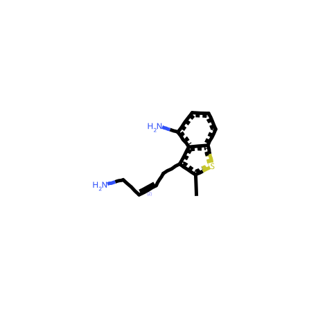 Cc1sc2cccc(N)c2c1C/C=C\CN